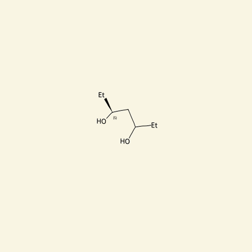 CCC(O)C[C@@H](O)CC